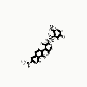 CNc1cc2ccc(-c3c(F)cnc(NS(=O)(=O)c4cc(Cl)cnc4OC)c3F)c(F)c2cn1